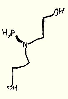 OCCN(P)CCO